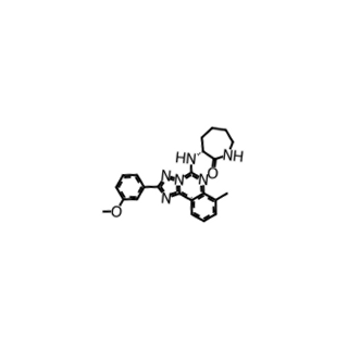 COc1cccc(-c2nc3c4cccc(C)c4nc(N[C@@H]4CCCCNC4=O)n3n2)c1